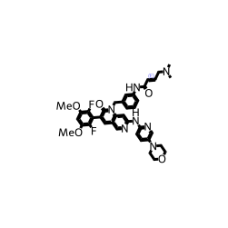 COc1cc(OC)c(F)c(-c2cc3cnc(Nc4ccc(N5CCOCC5)cn4)cc3n(Cc3cccc(NC(=O)/C=C/CN(C)C)c3)c2=O)c1F